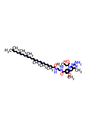 CCCC(CO)Nc1nc(N)nc(C)c1Cc1ccc(C(=O)NCCNC(=O)CC/C(C)=C/CC/C(C)=C/CC/C(C)=C/CC/C=C(\C)CC/C=C(\C)CCC=C(C)C)cc1OC